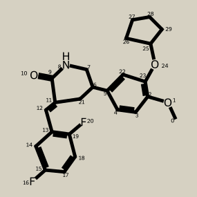 COc1ccc(C2CNC(=O)C(=Cc3cc(F)ccc3F)C2)cc1OC1CCCC1